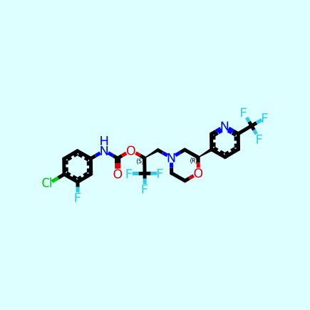 O=C(Nc1ccc(Cl)c(F)c1)O[C@@H](CN1CCO[C@H](c2ccc(C(F)(F)F)nc2)C1)C(F)(F)F